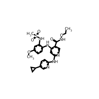 CCONC(=O)c1cnc(Nc2ccc(C3CC3)cn2)cc1Nc1ccc(OC)cc1NS(C)(=O)=O